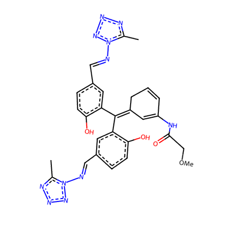 COCC(=O)NC1=CC(=C(c2cc(C=Nn3nnnc3C)ccc2O)c2cc(C=Nn3nnnc3C)ccc2O)CC=C1